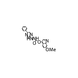 COc1ccc2c(OCC(=O)NNc3ncc(-c4ccccc4)nn3)ccnc2c1